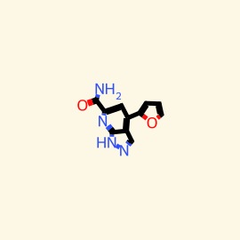 NC(=O)c1cc(-c2ccco2)c2cn[nH]c2n1